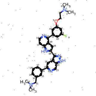 CN(C)CCOc1cc(F)cc(-c2nccc3[nH]c(-c4n[nH]c5cnc(-c6cccc(CN(C)C)c6)cc45)cc23)c1